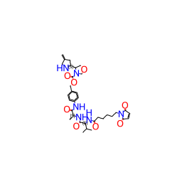 C=C1CN[C@H](C2COCN2C(=O)OCc2ccc(NC(=O)[C@H](C)NC(=O)[C@@H](NC(=O)CCCCCN3C(=O)C=CC3=O)C(C)C)cc2)C1